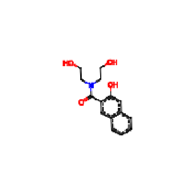 O=C(c1cc2ccccc2cc1O)N(CCO)CCO